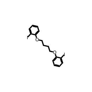 Ic1ccccc1OCCCCOc1ccccc1I